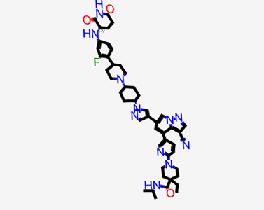 CCC1(C(=O)NC(C)C)CCN(c2ccc(-c3cc(-c4cnn([C@H]5CC[C@H](N6CCC(c7ccc(N[C@H]8CCC(=O)NC8=O)cc7F)CC6)CC5)c4)cn4ncc(C#N)c34)cn2)CC1